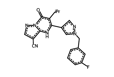 CC(C)c1c(-c2cnn(Cc3cccc(F)c3)c2)[nH]c2c(C#N)cnn2c1=O